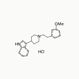 COc1cccc(CCN2CCC(c3c[nH]c4ccccc34)CC2)c1.Cl